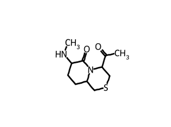 CNC1CCC2CSCC(C(C)=O)N2C1=O